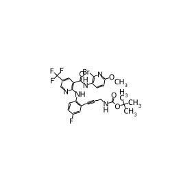 COc1ccc(NC(=O)c2cc(C(F)(F)F)cnc2Nc2ccc(F)cc2C#CCNC(=O)OC(C)(C)C)c(Br)n1